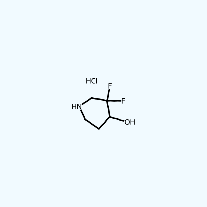 Cl.OC1CCNCC1(F)F